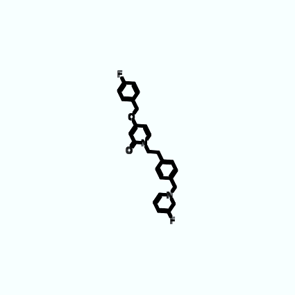 O=c1cc(OCc2ccc(F)cc2)ccn1CCc1ccc(CN2C=CC=C(F)C2)cc1